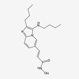 CCCCNc1c(CCCC)nc2ccc(/C=C/C(=O)NO)cn12